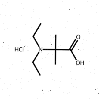 CCN(CC)C(C)(C)C(=O)O.Cl